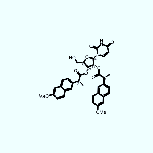 COc1ccc2cc([C@H](C)C(=O)O[C@@H]3[C@H](OC(=O)[C@@H](C)c4ccc5cc(OC)ccc5c4)[C@@H](CO)O[C@H]3n3ccc(=O)[nH]c3=O)ccc2c1